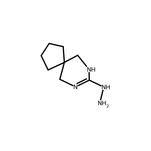 NNC1=NCC2(CCCC2)CN1